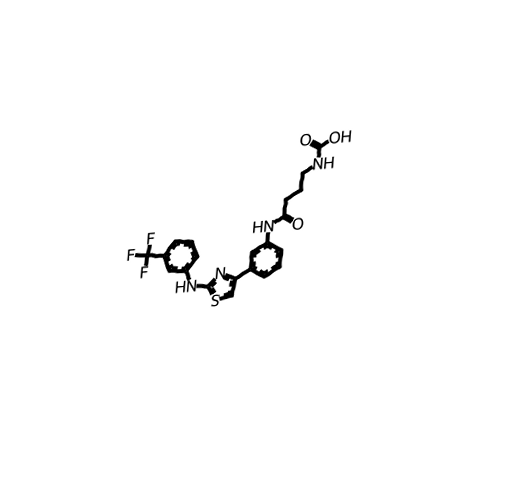 O=C(O)NCCCC(=O)Nc1cccc(-c2csc(Nc3cccc(C(F)(F)F)c3)n2)c1